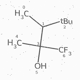 CC(C(C)(C)C)C(C)(O)C(F)(F)F